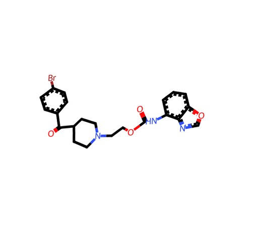 O=C(Nc1cccc2ocnc12)OCCN1CCC(C(=O)c2ccc(Br)cc2)CC1